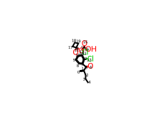 C=C(CCC)C(=O)c1ccc(OC2(OC(=O)O)CCC2)c(Cl)c1Cl